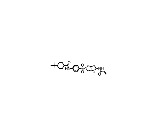 C=CC(=O)NC1CC2CN(S(=O)(=O)c3ccc(NC(=O)C4CCC(C(C)(C)C)CC4)cc3)CC2S1